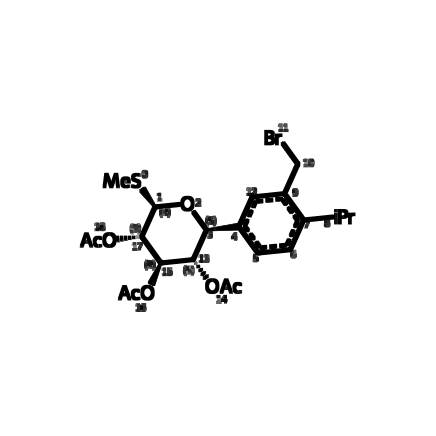 CS[C@H]1O[C@@H](c2ccc(C(C)C)c(CBr)c2)[C@H](OC(C)=O)[C@@H](OC(C)=O)[C@@H]1OC(C)=O